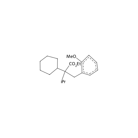 CCOC(=O)C(Cc1ccccc1OC)(C(C)C)C1CCCCC1